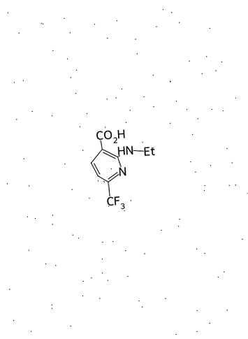 CCNc1nc(C(F)(F)F)ccc1C(=O)O